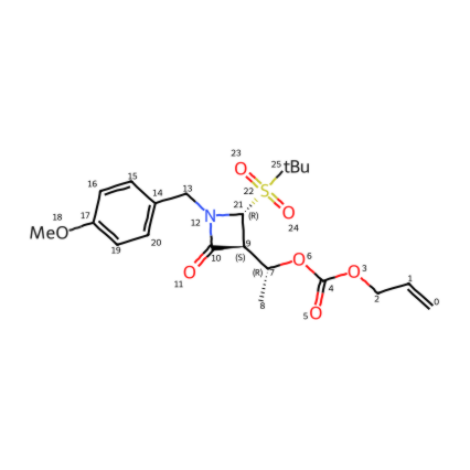 C=CCOC(=O)O[C@H](C)[C@H]1C(=O)N(Cc2ccc(OC)cc2)[C@@H]1S(=O)(=O)C(C)(C)C